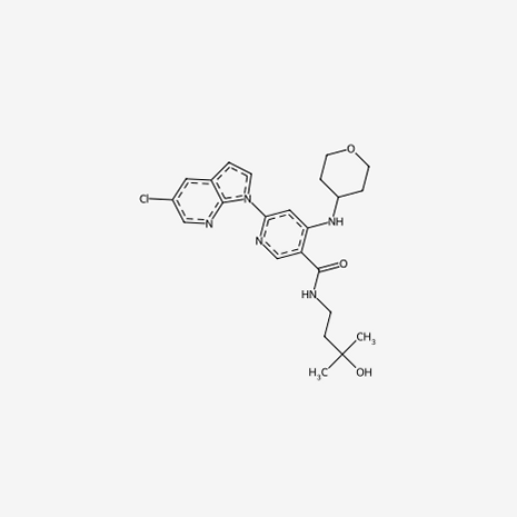 CC(C)(O)CCNC(=O)c1cnc(-n2ccc3cc(Cl)cnc32)cc1NC1CCOCC1